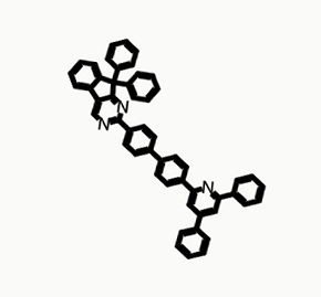 c1ccc(-c2cc(-c3ccccc3)nc(-c3ccc(-c4ccc(-c5ncc6c(n5)C(c5ccccc5)(c5ccccc5)c5ccccc5-6)cc4)cc3)c2)cc1